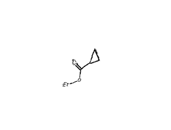 C[CH]OC(=O)C1CC1